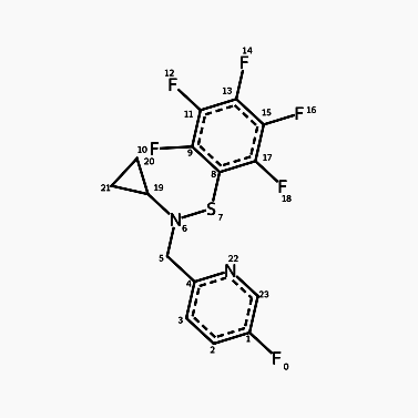 Fc1ccc(CN(Sc2c(F)c(F)c(F)c(F)c2F)C2CC2)nc1